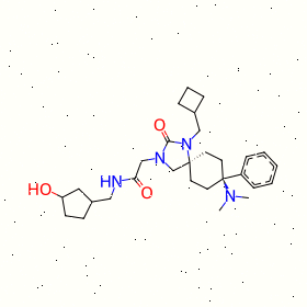 CN(C)[C@]1(c2ccccc2)CC[C@]2(CC1)CN(CC(=O)NCC1CCC(O)C1)C(=O)N2CC1CCC1